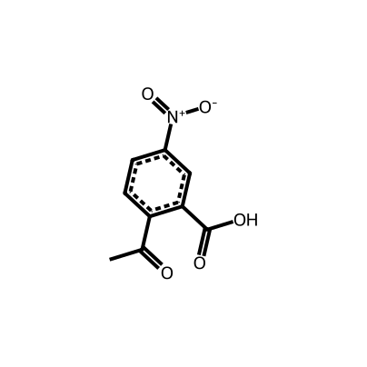 CC(=O)c1ccc([N+](=O)[O-])cc1C(=O)O